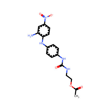 CC(=O)OCCNC(=O)Nc1ccc(Nc2ccc([N+](=O)[O-])cc2N)cc1